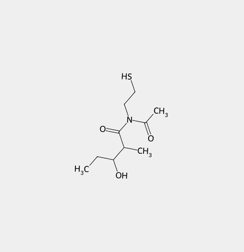 CCC(O)C(C)C(=O)N(CCS)C(C)=O